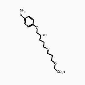 Cl.NCc1ccc(OCCCCCOCCCOCC(=O)O)cc1